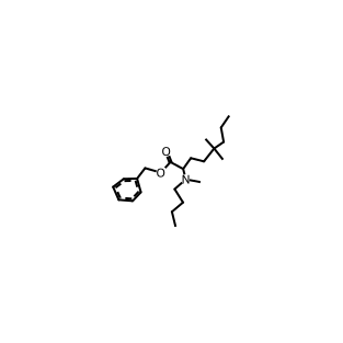 CCCCN(C)C(CCC(C)(C)CCC)C(=O)OCc1ccccc1